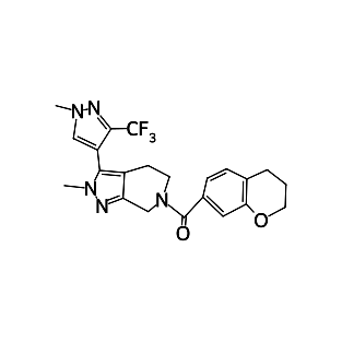 Cn1cc(-c2c3c(nn2C)CN(C(=O)c2ccc4c(c2)OCCC4)CC3)c(C(F)(F)F)n1